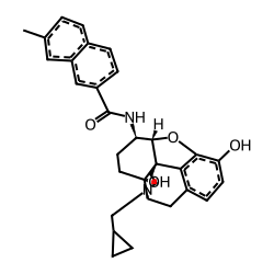 Cc1ccc2ccc(C(=O)N[C@@H]3CC[C@@]4(O)C5Cc6ccc(O)c7c6[C@@]4(CCN5CC4CC4)[C@H]3O7)cc2c1